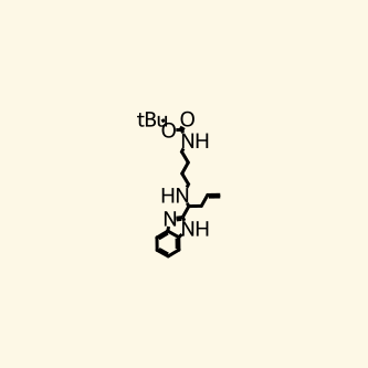 C=CCC(NCCCCNC(=O)OC(C)(C)C)c1nc2ccccc2[nH]1